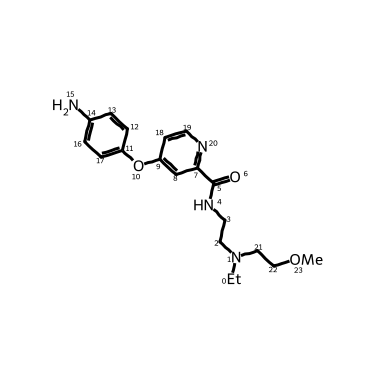 CCN(CCNC(=O)c1cc(Oc2ccc(N)cc2)ccn1)CCOC